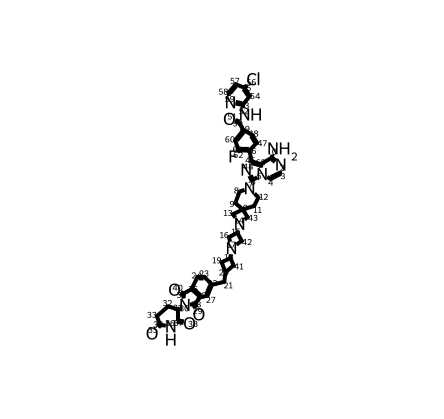 Nc1nccn2c(N3CCC4(CC3)CN(C3CN(C5CC(Cc6ccc7c(c6)C(=O)N(C6CCC(=O)NC6=O)C7=O)C5)C3)C4)nc(-c3ccc(C(=O)Nc4cc(Cl)ccn4)cc3F)c12